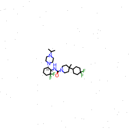 CC(C)N1CCN([C@H]2CCCC(F)(F)[C@@H]2NC(=O)N2CCC(C)(C3CCC(F)(F)CC3)CC2)CC1